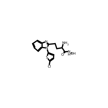 NC(CCc1nc2ccccc2n1-c1ccc(Cl)s1)C(=O)NO